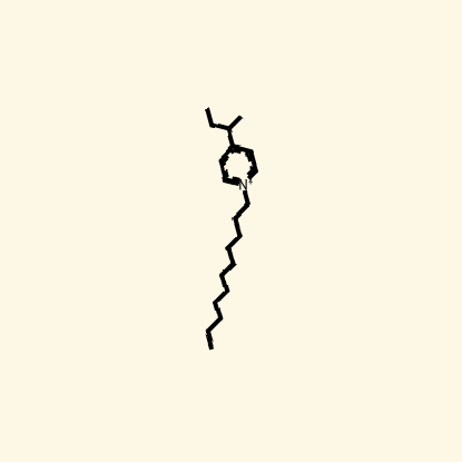 CCCCCCCCCCC[n+]1ccc(C(C)CC)cc1